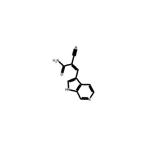 N#CC(=Cc1c[nH]c2cnccc12)C(N)=O